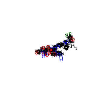 Cc1ccccc1[C@@H]1CN([C@@H]2CCOc3cc(F)c(F)cc32)CCN1C1CC2(CCN(c3ccc(C(=O)NS(=O)(=O)c4cc5c(c([N+](=O)[O-])c4)N[C@H](C4CCOCC4)CO5)c(N4c5cc6cc[nH]c6nc5O[C@H]5COCC[C@@H]54)c3)CC2)C1